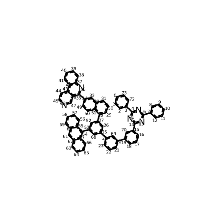 c1ccc(-c2nc(-c3ccccc3)nc(-c3cccc(-c4cccc(-c5cc(-c6cccc7cc(-c8nc9ccccc9c9ccncc89)ccc67)cc(-c6c7ccccc7cc7ccccc67)c5)c4)c3)n2)cc1